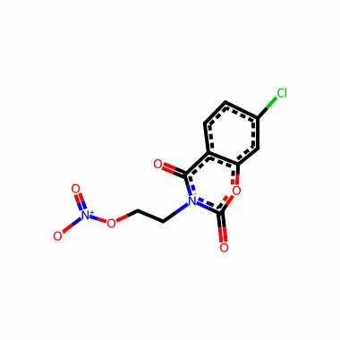 O=c1oc2cc(Cl)ccc2c(=O)n1CCO[N+](=O)[O-]